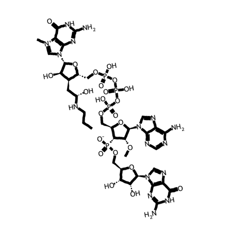 CCCN[C@@H](O)C[C@H]1[C@@H](O)[C@H](n2c[n+](C)c3c(=O)[nH]c(N)nc32)O[C@@H]1COP(=O)(O)OP(=O)(O)OP(=O)(O)OC[C@H]1O[C@@H](n2cnc3c(N)ncnc32)[C@H](OC)[C@@H]1P(=O)([O-])OC[C@H]1O[C@@H](n2cnc3c(=O)[nH]c(N)nc32)[C@H](O)[C@@H]1O